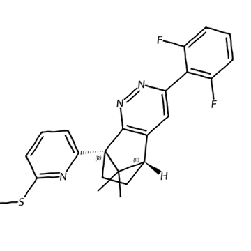 CSc1cccc([C@]23CC[C@@H](c4cc(-c5c(F)cccc5F)nnc42)C3(C)C)n1